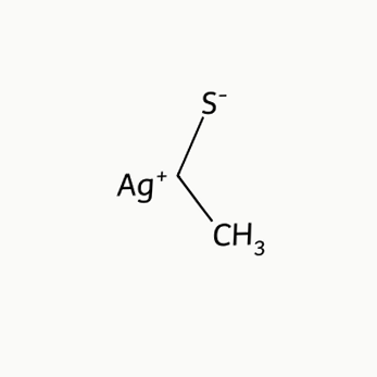 CC[S-].[Ag+]